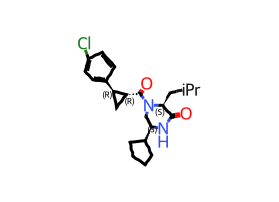 CC(C)C[C@H]1C(=O)N[C@@H](C2CCCC2)CN1C(=O)[C@@H]1C[C@H]1c1ccc(Cl)cc1